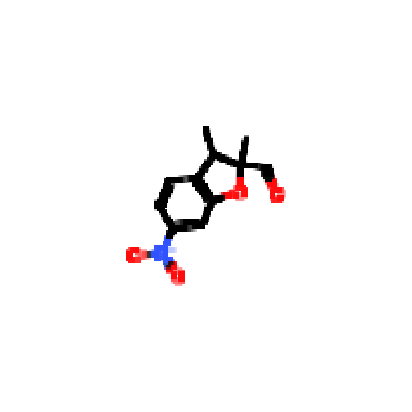 CC1c2ccc([N+](=O)[O-])cc2OC1(C)C=O